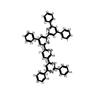 c1ccc(-c2cc(-c3ccccc3)nc(-c3cc(-c4ccccc4)cc(-c4ccc(-c5cc(-c6ccccc6)nc(-c6ccccc6)n5)cn4)n3)c2)cc1